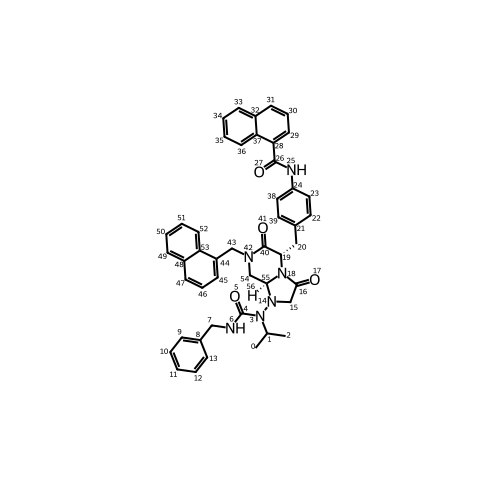 CC(C)N(C(=O)NCc1ccccc1)N1CC(=O)N2[C@@H](Cc3ccc(NC(=O)c4cccc5ccccc45)cc3)C(=O)N(Cc3cccc4ccccc34)C[C@@H]21